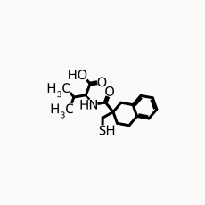 CC(C)[C@H](NC(=O)C1(CS)CCc2ccccc2C1)C(=O)O